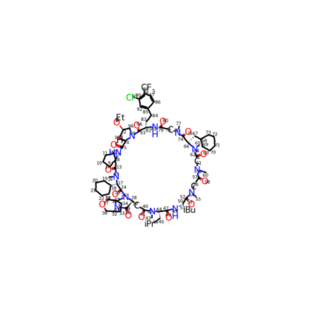 CCO[C@@H]1C[C@H]2C(=O)NC3(CCCC3)C(=O)N(C)[C@@H](C3CCCCC3)C(=O)N(C)[C@H](C(=O)N3C4CCC3COC4)CC(=O)N(C)[C@@H](CC(C)C)C(=O)N[C@@H]([C@@H](C)CC)C(=O)N(C)CC(=O)N(C)CC(=O)N(C)[C@@H](CC3CCCCC3)C(=O)N(C)CC(=O)N[C@@H](CCc3ccc(C(F)(F)F)c(Cl)c3)C(=O)N2C1